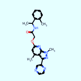 Cc1ccccc1C(C)NC(=O)COc1cc(C)c2c(-c3cnccn3)nn(C)c2n1